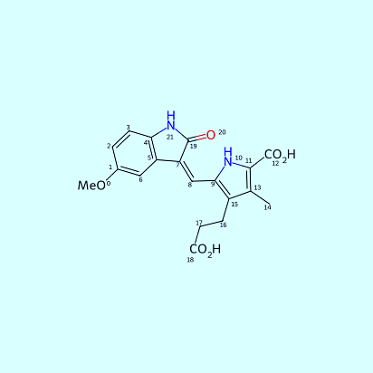 COc1ccc2c(c1)/C(=C/c1[nH]c(C(=O)O)c(C)c1CCC(=O)O)C(=O)N2